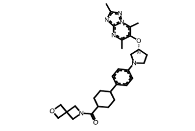 Cc1nc2nc(C)c(O[C@@H]3CCN(c4ccc(C5CCC(C(=O)N6CC7(COC7)C6)CC5)cc4)C3)c(C)n2n1